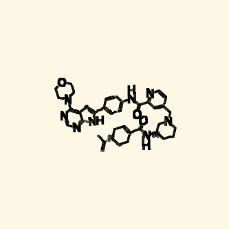 C=C(C)[C@@H]1CC=C(C(=O)N[C@@H]2CCCN(Cc3ccnc(C(=O)Nc4ccc(-c5cc6c(N7CCOCC7)ncnc6[nH]5)cc4)c3)C2)CC1